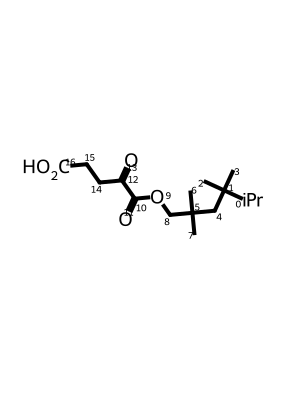 CC(C)C(C)(C)CC(C)(C)COC(=O)C(=O)CCC(=O)O